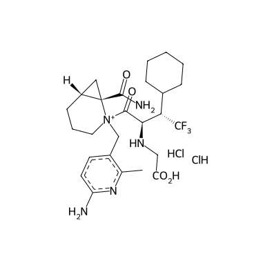 Cc1nc(N)ccc1C[N+]1(C(=O)[C@H](NCC(=O)O)[C@H](C2CCCCC2)C(F)(F)F)CCC[C@@H]2C[C@@]21C(N)=O.Cl.Cl